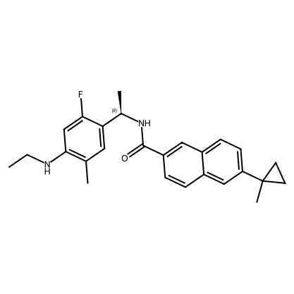 CCNc1cc(F)c([C@@H](C)NC(=O)c2ccc3cc(C4(C)CC4)ccc3c2)cc1C